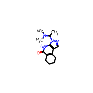 CCCN(C)C(C)n1ncc2c3c(c(=O)[nH]c21)CCCC3